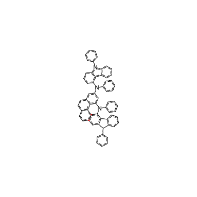 c1ccc(C2c3ccccc3-c3c2cccc3N(c2ccccc2)c2cc(N(c3ccccc3)c3cccc4c3c3ccccc3n4-c3ccccc3)cc3ccc4ccccc4c23)cc1